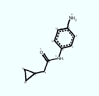 Nc1ccc(NC(=O)CC2CC2)cc1